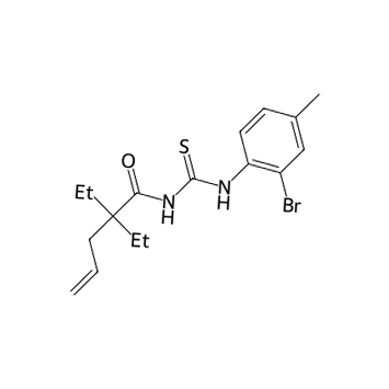 C=CCC(CC)(CC)C(=O)NC(=S)Nc1ccc(C)cc1Br